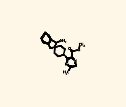 COC(=O)c1ncc(C)nc1N1CCC2(CC1)Cc1ccccc1C2N